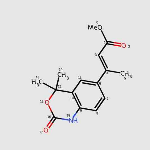 COC(=O)C=C(C)c1ccc2c(c1)C(C)(C)OC(=O)N2